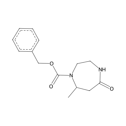 CC1CC(=O)NCCN1C(=O)OCc1ccccc1